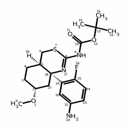 CO[C@@H]1CC[C@H]2CSC(NC(=O)OC(C)(C)C)=N[C@@]2(c2cc(N)ccc2F)C1